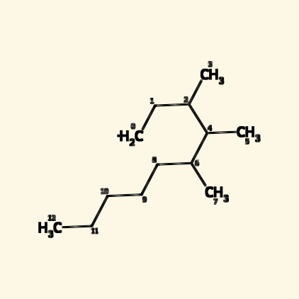 [CH2]CC(C)C(C)C(C)CCCCC